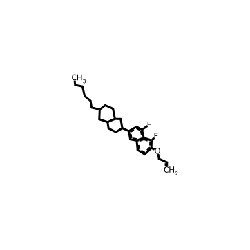 C=CCOc1ccc2cc(C3CCC4CC(CCCCCC)CCC4C3)cc(F)c2c1F